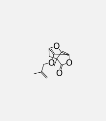 C=C(C)COc1c2oc3c1OC(=O)C3(C)C2